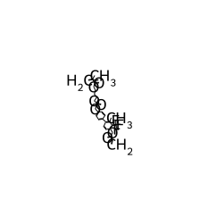 C=CC(=O)Oc1ccc(-c2ccc(OC(=O)OCCCOC(=O)C(=C)C)cc2)c(C)c1C(F)(F)F